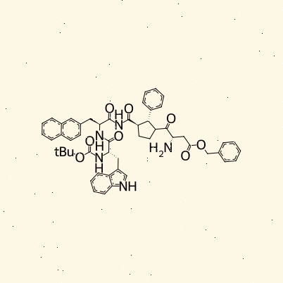 CC(C)(C)OC(=O)N[C@@H](Cc1c[nH]c2ccccc12)C(=O)N[C@@H](Cc1ccc2ccccc2c1)C(=O)NC(=O)[C@@H]1CCC(C(=O)[C@@H](N)CC(=O)OCc2ccccc2)[C@H]1c1ccccc1